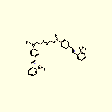 CCN(CCSSCCN(CC)c1ccc(/C=C/c2cccc[n+]2C)cc1)c1ccc(/C=C/c2cccc[n+]2C)cc1